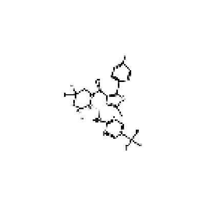 Cc1ccc(-c2sc(C)nc2C(=O)N2CC(F)(F)C[C@@H](C)[C@H]2CNc2ncc(C(F)(F)F)cn2)cc1